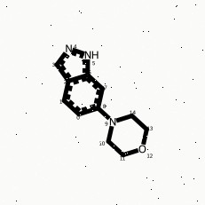 c1cc2cn[nH]c2cc1N1CCOCC1